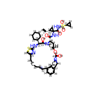 C=C[C@@H]1C[C@]1(NC(=O)[C@@H]1C[C@@H]2CN1C(=O)[C@H](C1CCCCC1)Nc1nc(cs1)CCC/C=C/c1cccc3c1CN(C3)C(=O)O2)C(=O)NS(=O)(=O)C1CC1